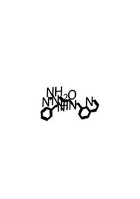 Nc1nc2ccccc2c2nc(C(=O)NCc3cccc4cccnc34)cn12